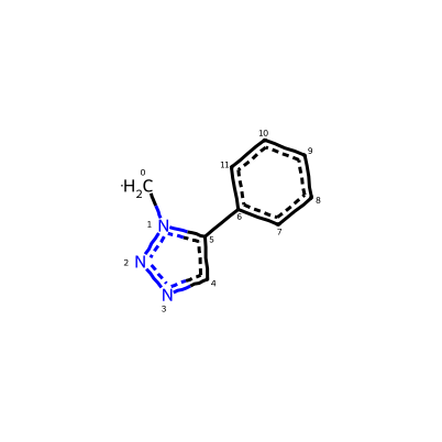 [CH2]n1nncc1-c1ccccc1